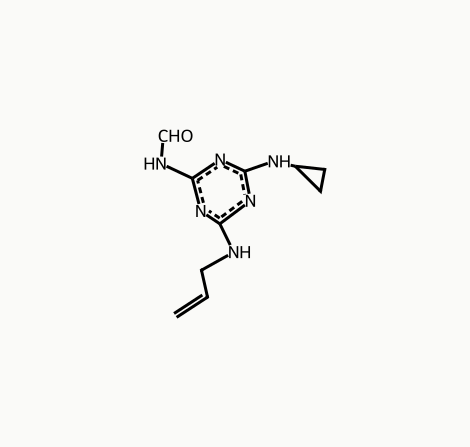 C=CCNc1nc(NC=O)nc(NC2CC2)n1